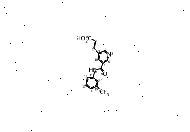 O=C(O)C=Cc1cncc(C(=O)Nc2cccc(C(F)(F)F)c2)c1